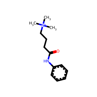 C[N+](C)(C)CCCC(=O)Nc1cc[c]cc1